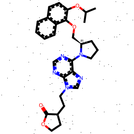 CC(C)Oc1ccc2ccccc2c1OC[C@H]1CCCN1c1ncnc2c1ncn2CCC1CCOC1=O